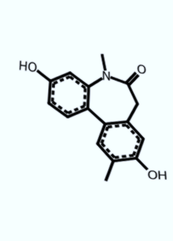 Cc1cc2c(cc1O)CC(=O)N(C)c1cc(O)ccc1-2